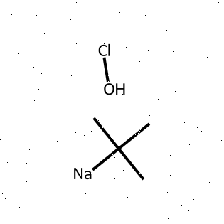 C[C](C)(C)[Na].OCl